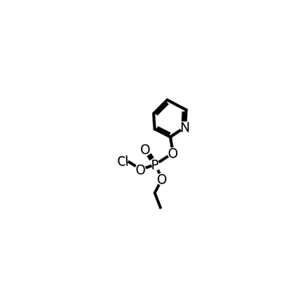 CCOP(=O)(OCl)Oc1ccccn1